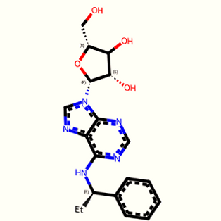 CC[C@@H](Nc1ncnc2c1ncn2[C@@H]1O[C@H](CO)C(O)[C@@H]1O)c1ccccc1